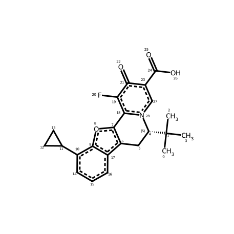 CC(C)(C)[C@@H]1Cc2c(oc3c(C4CC4)cccc23)-c2c(F)c(=O)c(C(=O)O)cn21